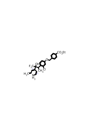 C=C/C=C(\C=C/N)C(O)(C(C)c1ccc(OCc2ccc(C(=O)OCC)cc2)cc1Cl)C(F)(F)F